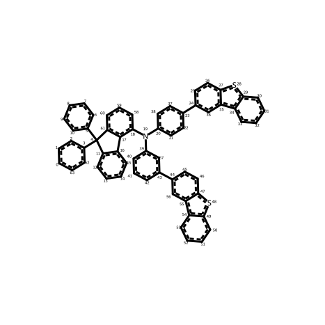 c1ccc(C2(c3ccccc3)c3ccccc3-c3c(N(c4ccc(-c5ccc6sc7ccccc7c6c5)cc4)c4cccc(-c5ccc6sc7ccccc7c6c5)c4)cccc32)cc1